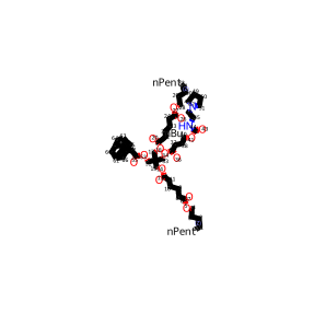 CCCCC/C=C\CCOC(=O)CCCCC(=O)OCC(COC(=O)CCCCC(=O)OCC/C=C\CCCCC)(COC(=O)CCC(CCCC)OC(=O)NCCN1CCCC1)COC(=O)CC12CC3CC(CC(C3)C1)C2